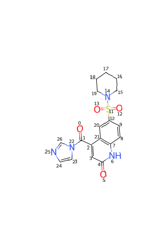 O=C(c1cc(=O)[nH]c2ccc(S(=O)(=O)N3CCCCC3)cc12)n1ccnc1